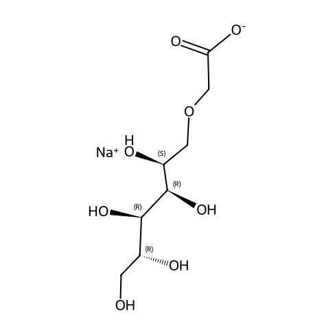 O=C([O-])COC[C@H](O)[C@@H](O)[C@H](O)[C@H](O)CO.[Na+]